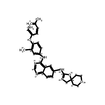 C=C(C)/C=C\C(=C/N)Oc1ccc(Nc2ncnc3ccc(NC4=NCC5(CCOCC5)O4)cc23)cc1C